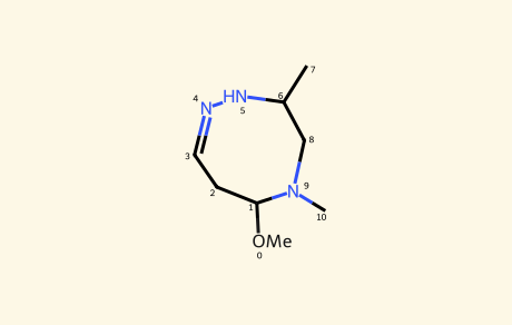 COC1C/C=N\NC(C)CN1C